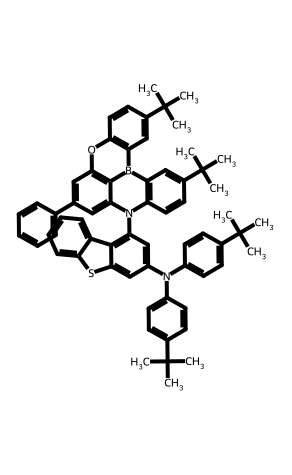 CC(C)(C)c1ccc(N(c2ccc(C(C)(C)C)cc2)c2cc(N3c4ccc(C(C)(C)C)cc4B4c5cc(C(C)(C)C)ccc5Oc5cc(-c6ccccc6)cc3c54)c3c(c2)sc2ccccc23)cc1